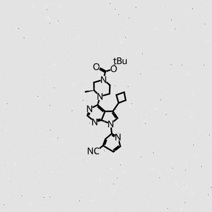 C[C@H]1CN(C(=O)OC(C)(C)C)CCN1c1ncnc2c1c(C1CCC1)cn2-c1cc(C#N)ccn1